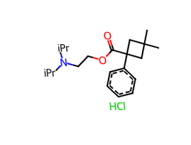 CC(C)N(CCOC(=O)C1(c2ccccc2)CC(C)(C)C1)C(C)C.Cl